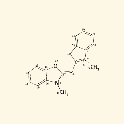 CN1/C(=C/C2=[N+](C)c3ccccc3C2)Oc2ccccc21